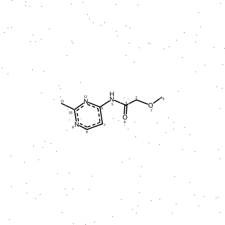 COCC(=O)Nc1c[c]nc(C)n1